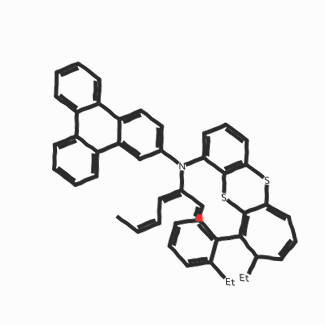 C=C/C(=C\C=C/C)N(c1ccc2c3ccccc3c3ccccc3c2c1)c1cccc2c1SC1=C(c3ccccc3CC)C(CC)C=CC=C1S2